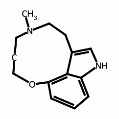 CN1CCCOc2cccc3[nH]cc(c23)CC1